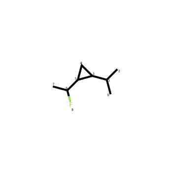 CC(C)C1CC1C(C)F